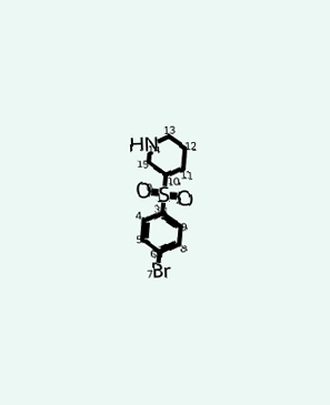 O=S(=O)(c1ccc(Br)cc1)C1CCCNC1